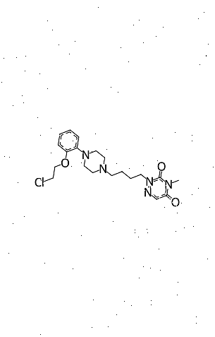 Cn1c(=O)cnn(CCCCN2CCN(c3ccccc3OCCCl)CC2)c1=O